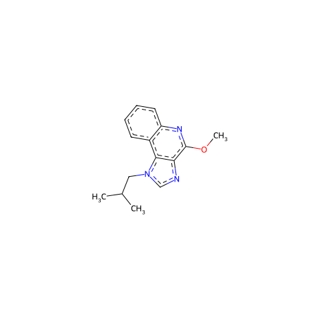 COc1nc2ccccc2c2c1ncn2CC(C)C